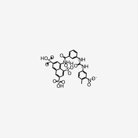 Cc1ccc(NC(=O)Nc2cccc(C(=O)Nc3cc(S(=O)(=O)O)cc4cc(S(=O)(=O)O)cc(S(=O)(=O)O)c34)c2)cc1[N+](=O)[O-]